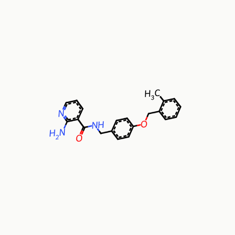 Cc1ccccc1COc1ccc(CNC(=O)c2cccnc2N)cc1